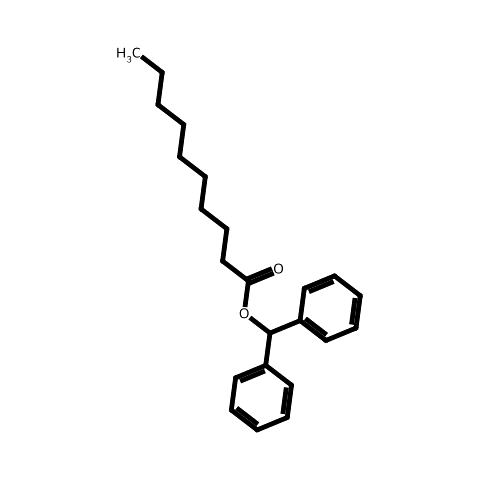 CCCCCCCCCC(=O)OC(c1ccccc1)c1ccccc1